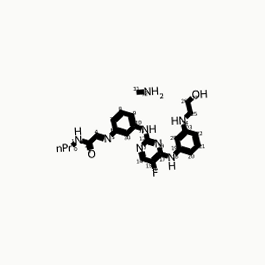 CCCNC(=O)C=Nc1cccc(Nc2ncc(F)c(Nc3cccc(NCCO)c3)n2)c1.CN